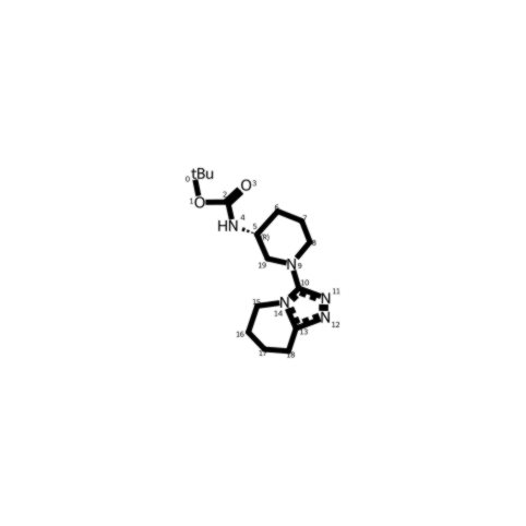 CC(C)(C)OC(=O)N[C@@H]1CCCN(c2nnc3n2CCCC3)C1